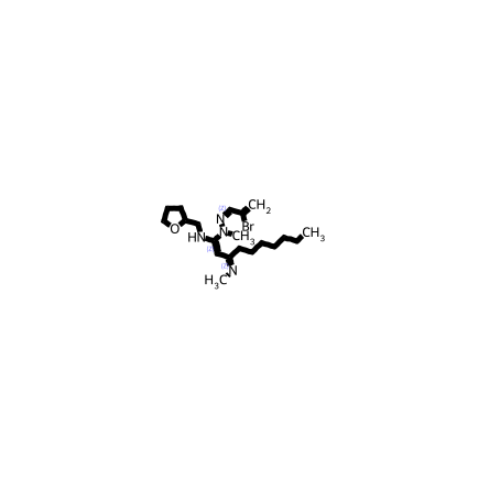 C=C(Br)/C=N\N(C)/C(=C\C(CCCCCCC)=N/C)NCC1CCCO1